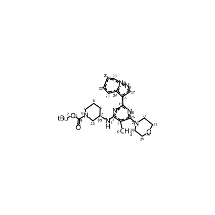 Cc1c(N[C@@H]2CCCN(C(=O)OC(C)(C)C)C2)nc(-c2cnn3ccccc23)nc1N1CCOCC1